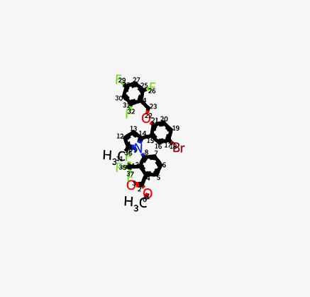 COC(=O)c1cccc(-n2c(C)ccc2-c2cc(Br)ccc2OCc2c(F)cc(F)cc2F)c1C(F)(F)F